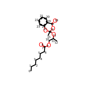 CCCCCCCC(=O)OCC(C)OC1(C)OC(=O)c2ccccc2O1